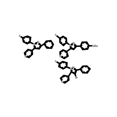 CSc1ccc(-c2cc(-c3ccncc3)n(-c3ccc(F)cc3)n2)cc1.Fc1ccc(-n2nc(-c3ccccc3)c(Br)c2-c2ccncc2)cc1.Fc1ccc(-n2nc(-c3ccccc3)cc2-c2ccncc2)cc1